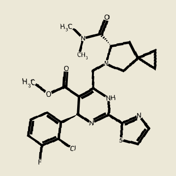 COC(=O)C1=C(CN2CC3(CC3)C[C@H]2C(=O)N(C)C)NC(c2nccs2)=N[C@H]1c1cccc(F)c1Cl